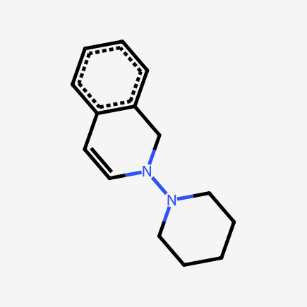 C1=CN(N2CCCCC2)Cc2ccccc21